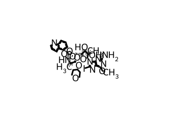 COc1nc(N)nc2c1nc(I)n2C1O[C@H](COP(=O)(N[C@@H](C)C(=O)OC2CCOCC2)Oc2cccc3ncccc23)[C@@H](O)[C@@]1(C)O